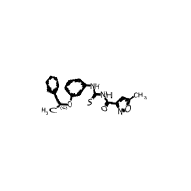 Cc1cc(C(=O)NC(=S)Nc2cccc(O[C@@H](C)c3ccccc3)c2)no1